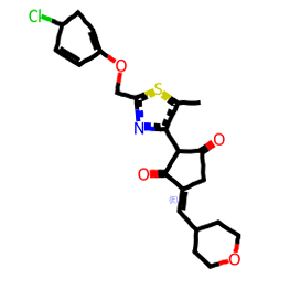 Cc1sc(COC2=CCC(Cl)C=C2)nc1C1C(=O)C/C(=C\C2CCOCC2)C1=O